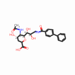 CC(=O)N[C@H]1[C@H]([C@H](O)[C@H](O)CNC(=O)c2ccc(-c3ccccc3)cc2)OC(C(=O)O)C[C@@H]1O